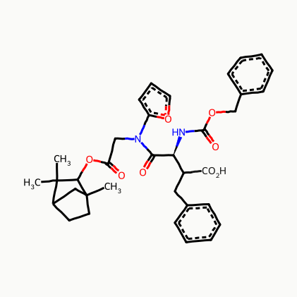 CC12CCC(C1)C(C)(C)C2OC(=O)CN(C(=O)[C@@H](NC(=O)OCc1ccccc1)C(Cc1ccccc1)C(=O)O)c1ccco1